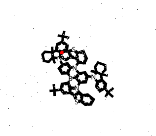 CC(C)(C)c1ccc2c(c1)C1(C)CCCCC1(C)N2c1ccc2c(c1)N(c1cccc3sc4ccccc4c13)c1cc(N3c4ccc(C(C)(C)C)cc4C4(C)CCCCC34C)cc3c1B2c1cc(C(C)(C)C)cc2c4sc5ccccc5c4n-3c12